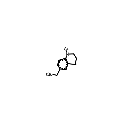 CC(=O)N1CC[C]c2cc(CC(C)(C)C)ccc21